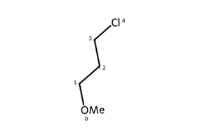 COC[CH]CCl